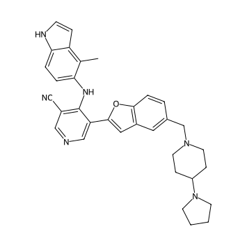 Cc1c(Nc2c(C#N)cncc2-c2cc3cc(CN4CCC(N5CCCC5)CC4)ccc3o2)ccc2[nH]ccc12